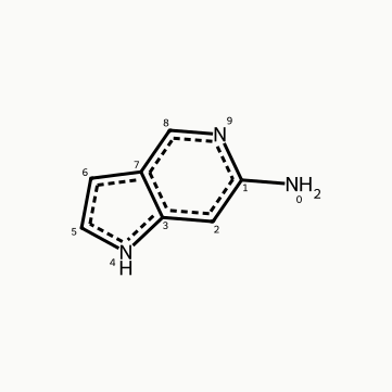 Nc1cc2[nH]ccc2cn1